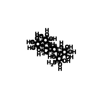 Bc1c(O)c(O)c2c3c(O)c(O)c(O)c(O)c3n(-c3ccc4sc5c(-n6c7c(B)c(O)c(O)c(O)c7c7c(O)c(O)c(O)c(O)c76)nccc5c4c3)c2c1O